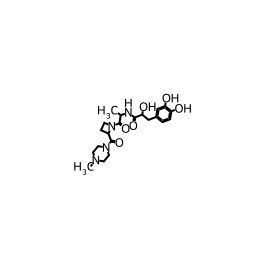 CC(NC(=O)C(O)Cc1ccc(O)c(O)c1)C(=O)N1CCC1C(=O)N1CCN(C)CC1